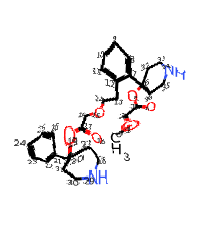 COCC(=O)OC1(c2ccccc2CCOCC(=O)OC2(c3ccccc3)CCNCC2)CCNCC1